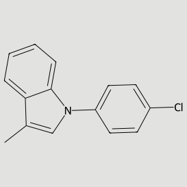 Cc1cn(-c2ccc(Cl)cc2)c2ccccc12